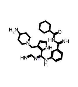 N=C/N=C(/Nc1cccc(C(=N)NC(=O)C2CCCCC2)c1)c1[nH]ccc1CN1CCC(N)CC1